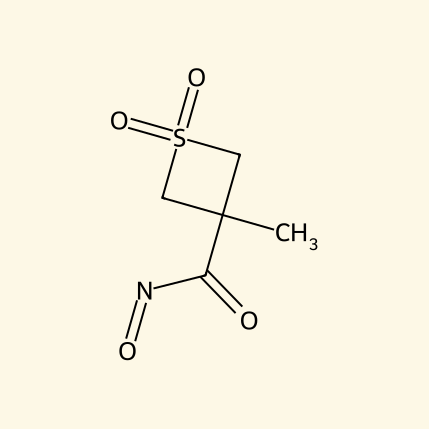 CC1(C(=O)N=O)CS(=O)(=O)C1